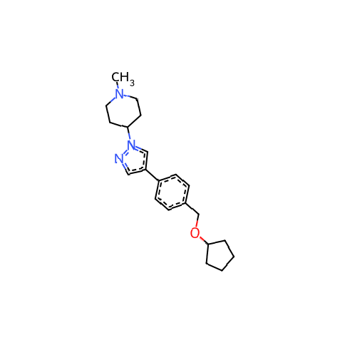 CN1CCC(n2cc(-c3ccc(COC4CCCC4)cc3)cn2)CC1